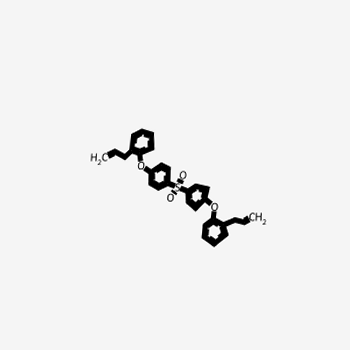 C=CCc1ccccc1Oc1ccc(S(=O)(=O)c2ccc(Oc3ccccc3CC=C)cc2)cc1